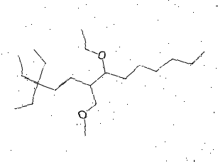 CCCCCCC(OCC)C(CCC(CC)(CC)CC)COC